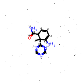 CC1(c2ncncn2)C(N)=CC=CC1C(N)=O